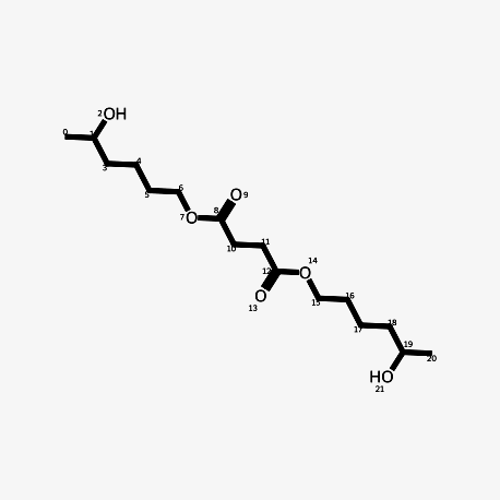 CC(O)CCCCOC(=O)CCC(=O)OCCCCC(C)O